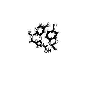 CC1Oc2cc(F)ccc2N1C(O)N1CC(CN(C)c2ccc(F)cn2)C1